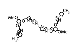 COc1cc(OCc2csc(N3CCN(CCc4ccc5nc(-c6cc7c(OCc8csc(-c9ccc(C(F)(F)F)cc9)n8)cc(OC)cc7o6)cn5n4)CC3)n2)c2cc(-c3cn4nc(C)ccc4n3)oc2c1